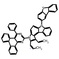 C=Cc1c(/C=C\C)n(-c2nc(-c3ccccc3)c3c4ccccc4c4ccccc4c3n2)c2ccc3c(c4ccccc4n3-c3ccc4sc5ccccc5c4c3)c12